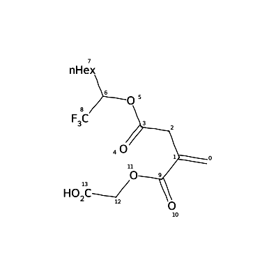 C=C(CC(=O)OC(CCCCCC)C(F)(F)F)C(=O)OCC(=O)O